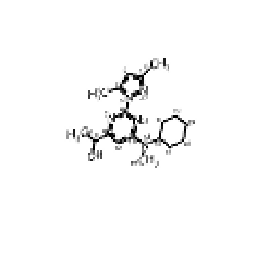 Cc1cc(C)n(-c2nc(C(C)O)cc(N(C)C3CCCCC3)n2)n1